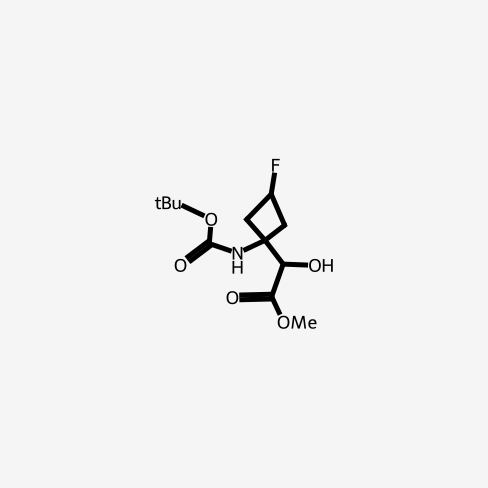 COC(=O)C(O)C1(NC(=O)OC(C)(C)C)CC(F)C1